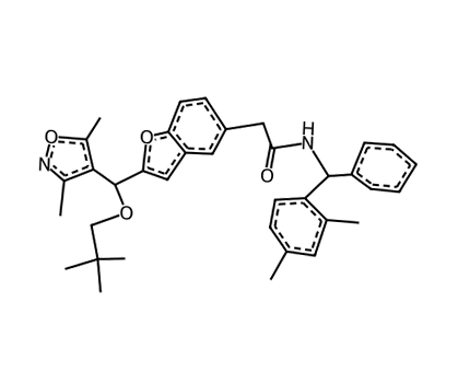 Cc1ccc(C(NC(=O)Cc2ccc3oc(C(OCC(C)(C)C)c4c(C)noc4C)cc3c2)c2ccccc2)c(C)c1